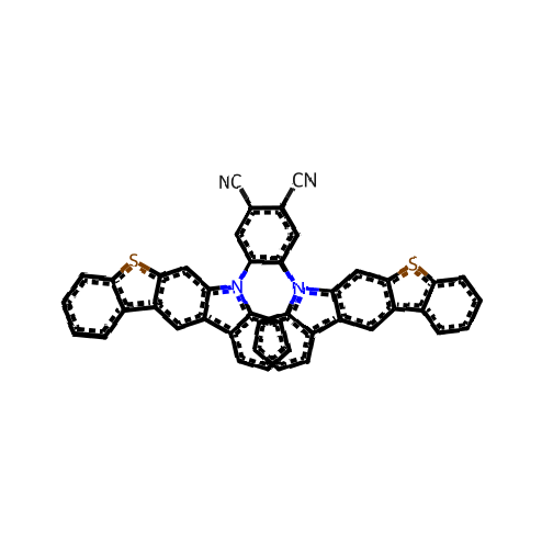 N#Cc1cc(-n2c3ccccc3c3cc4c(cc32)sc2ccccc24)c(-n2c3ccccc3c3cc4c(cc32)sc2ccccc24)cc1C#N